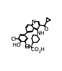 O=C(O)NC1CCC(Nc2c(C(=O)C3CC3)cnc3ccc(-c4cc(Cl)c(O)c(Cl)c4)cc23)CC1